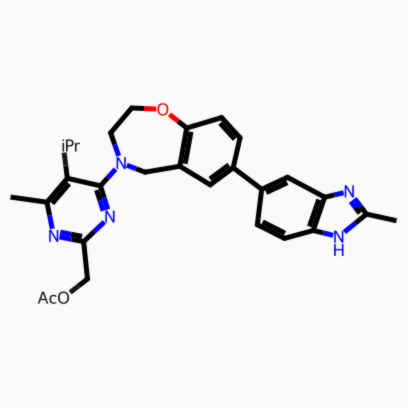 CC(=O)OCc1nc(C)c(C(C)C)c(N2CCOc3ccc(-c4ccc5[nH]c(C)nc5c4)cc3C2)n1